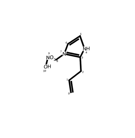 C=CCc1[nH]cc[n+]1C.O=[N+]([O-])O